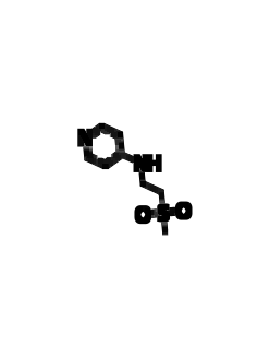 CS(=O)(=O)CCNc1ccncc1